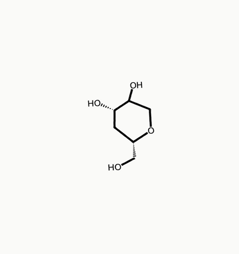 OC[C@@H]1C[C@H](O)C(O)CO1